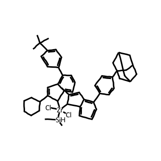 CC1=Cc2c(-c3ccc(C45CC6CC(CC(C6)C4)C5)cc3)cccc2[CH]1[Zr]([Cl])([Cl])([CH]1C(C2CCCCC2)=Cc2c(-c3ccc(C(C)(C)C)cc3)cccc21)[SiH](C)C